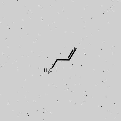 CC[CH]=[Ir]